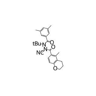 Cc1cc(C)cc(C(=O)N(N(C#N)C(=O)c2ccc3c(c2C)CCCO3)C(C)(C)C)c1